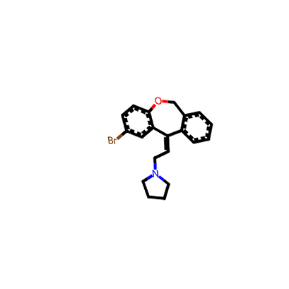 Brc1ccc2c(c1)/C(=C\CN1CCCC1)c1ccccc1CO2